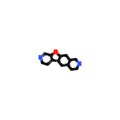 c1cc2cc3c(cc2cn1)oc1cnccc13